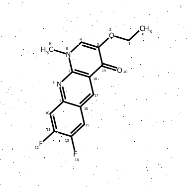 CCOc1cn(C)c2nc3cc(F)c(F)cc3cc2c1=O